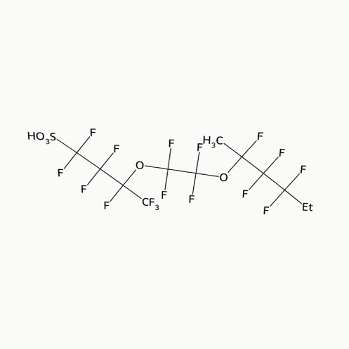 CCC(F)(F)C(F)(F)C(C)(F)OC(F)(F)C(F)(F)OC(F)(C(F)(F)F)C(F)(F)C(F)(F)S(=O)(=O)O